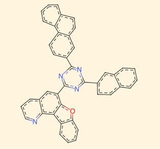 c1ccc2cc(-c3nc(-c4ccc5c(ccc6ccccc65)c4)nc(-c4cc5cccnc5c5c4oc4ccccc45)n3)ccc2c1